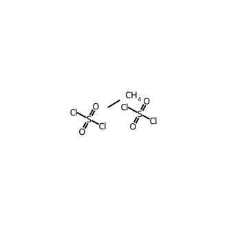 C.CC.O=S(=O)(Cl)Cl.O=S(=O)(Cl)Cl